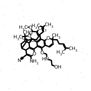 COC(=O)/C(C)=C\CC12OC(C)(C)C3CC(C1=O)C1C(C#N)=C(N)OC4=C1C32Oc1c(CC=C(C)C)c2c(c(OCNCCO)c14)C=CC(C)(CCC=C(C)C)O2